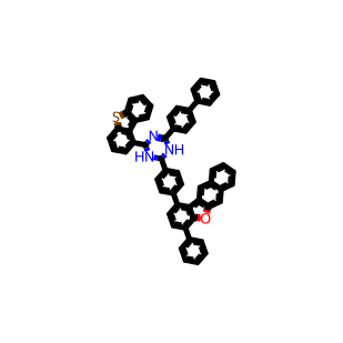 c1ccc(-c2ccc(C3=NC(c4cccc5sc6ccccc6c45)NC(c4ccc(-c5ccc(-c6ccccc6)c6oc7cc8ccccc8cc7c56)cc4)N3)cc2)cc1